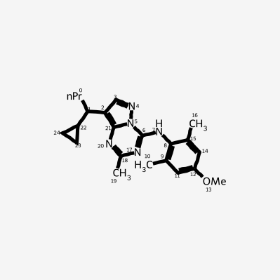 CCCC(c1cnn2c(Nc3c(C)cc(OC)cc3C)nc(C)nc12)C1CC1